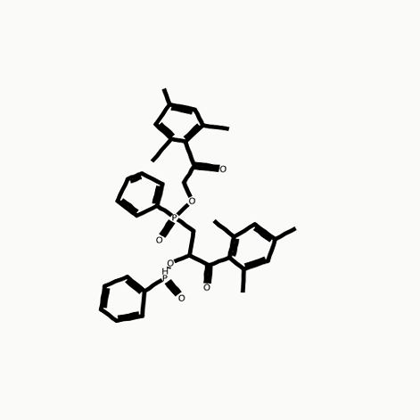 Cc1cc(C)c(C(=O)COP(=O)(CC(O[PH](=O)c2ccccc2)C(=O)c2c(C)cc(C)cc2C)c2ccccc2)c(C)c1